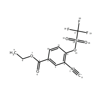 [C-]#[N+]c1cc(C(=O)OCC)ccc1OS(=O)(=O)C(F)(F)F